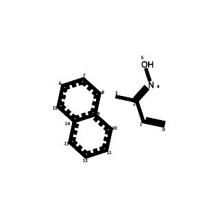 C=CC(C)=NO.c1ccc2ccccc2c1